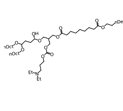 CCCCCCCCCCCCOC(=O)CCCCCCCC(=O)OCC(COC(=O)OCCCN(CC)CC)CO[C@H](O)CCC(OCCCCCCCC)OCCCCCCCC